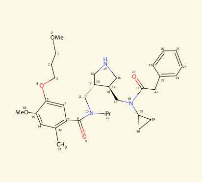 COCCCOc1cc(C(=O)N(C[C@@H]2CNC[C@H]2CN(C(=O)Cc2ccccc2)C2CC2)C(C)C)c(C)cc1OC